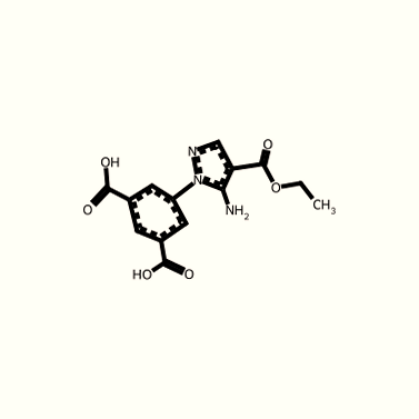 CCOC(=O)c1cnn(-c2cc(C(=O)O)cc(C(=O)O)c2)c1N